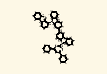 c1ccc(-c2cc(-c3ccccc3)nc(-n3c4ccccc4c4cc(-c5ccc6c7ccccc7n(-c7cccc8c7oc7ccccc78)c6c5)ccc43)n2)cc1